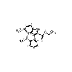 CCOC(=O)c1[nH]c2ccc(C)nc2c1-c1cccnc1OC